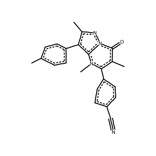 Cc1ccc(-c2c(C)nn3c(=O)c(C)c(-c4ccc(C#N)cc4)n(C)c23)cc1